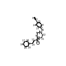 C#Cc1ccc(CN2CCN(C(=O)/C=C/c3ccccc3)CC2)cc1